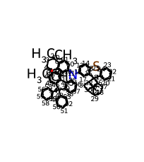 CC1(C)CCC(C)(C)c2cc(N(c3ccc4c(c3)C3(c5ccccc5S4)C4CC5CC6CC3C64C5)c3cccc4c3-c3ccccc3C4(c3ccccc3)c3ccccc3)ccc21